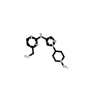 CCc1ccnc(Nc2cnn(C3CCN(C)CC3)c2)n1